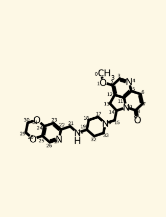 COc1cnc2ccc(=O)n3c2c1CC3CN1CCC(NCc2cc3c(cn2)OCCO3)CC1